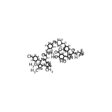 Cc1sc2c(c1C)C(c1ccc(Cl)cc1)=N[C@@H](CC(=O)NCc1ccc(CN3CCC(Cc4ccc(-n5c(C(=O)NCC(F)(F)F)nnc5-c5cc(C(C)C)c(O)cc5O)cc4)CC3)cc1)c1nnc(C)n1-2